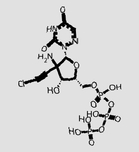 NC1(C#CCl)[C@@H](O)[C@@H](COP(=O)(O)OP(=O)(O)OP(=O)(O)O)O[C@H]1n1ncc(=O)[nH]c1=O